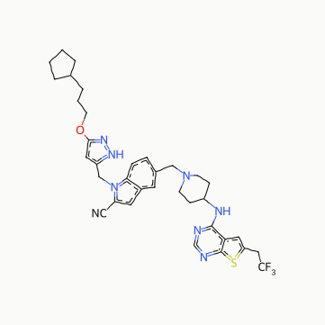 N#Cc1cc2cc(CN3CCC(Nc4ncnc5sc(CC(F)(F)F)cc45)CC3)ccc2n1Cc1cc(OCCCC2CCCC2)n[nH]1